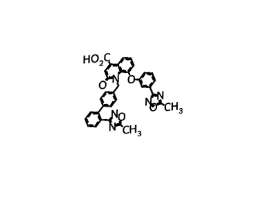 Cc1nc(-c2cccc(Oc3cccc4c(C(=O)O)cc(=O)n(Cc5ccc(-c6ccccc6-c6noc(C)n6)cc5)c34)c2)no1